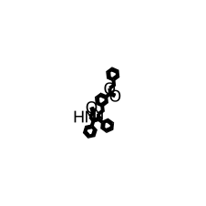 O=C(OCc1ccccc1)c1cccc(Cn2c(-c3ccccc3)c(-c3ccccc3)[nH]c2=O)c1